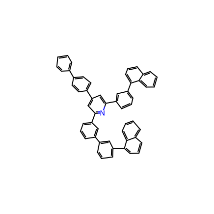 c1ccc(-c2ccc(-c3cc(-c4cccc(-c5cccc(-c6cccc7ccccc67)c5)c4)nc(-c4cccc(-c5cccc6ccccc56)c4)c3)cc2)cc1